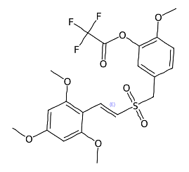 COc1cc(OC)c(/C=C/S(=O)(=O)Cc2ccc(OC)c(OC(=O)C(F)(F)F)c2)c(OC)c1